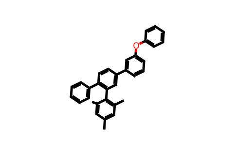 Cc1cc(C)c(-c2cc(-c3[c]ccc(Oc4ccccc4)c3)ccc2-c2ccccc2)c(C)c1